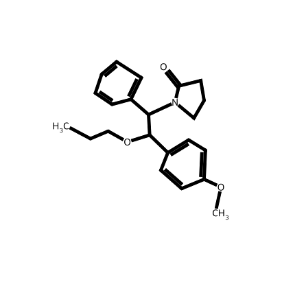 CCCOC(c1ccc(OC)cc1)C(c1ccccc1)N1CCCC1=O